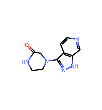 O=C1CN(c2n[nH]c3cnccc23)CCN1